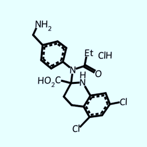 CCC(=O)N(c1ccc(CN)cc1)C1(C(=O)O)CCc2c(Cl)cc(Cl)cc2N1.Cl